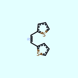 C(=C/c1cccs1)/c1cccs1